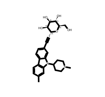 Cc1ccc2c3ccc(C#C[C@H]4O[C@H](CO)[C@@H](O)[C@H](O)[C@@H]4O)cc3n(C3CCN(C)CC3)c2c1